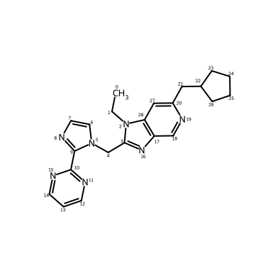 CCn1c(Cn2ccnc2-c2ncccn2)nc2cnc(CC3CCCC3)cc21